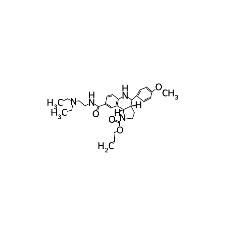 C=CCOC(=O)N1CC[C@H]2C(c3ccc(OC)cc3)Nc3ccc(C(=O)NCCN(CC)CC)cc3[C@H]21